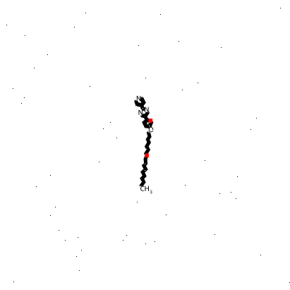 CCCCCCCCCCCCCCCCCCOc1ccc(-c2cnc(-c3ccncc3)nc2)cc1